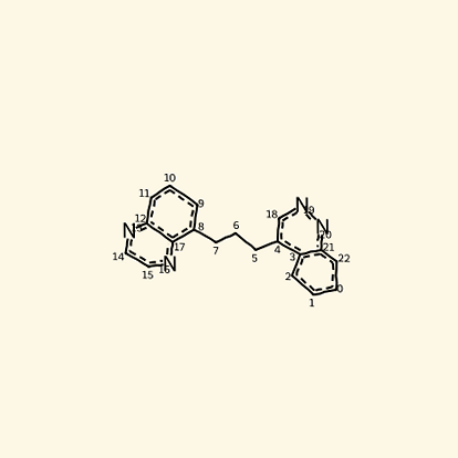 c1ccc2c(CCCc3cccc4nccnc34)cnnc2c1